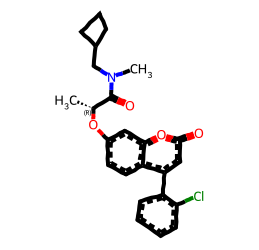 C[C@@H](Oc1ccc2c(-c3ccccc3Cl)cc(=O)oc2c1)C(=O)N(C)CC1CCC1